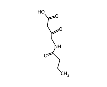 CCCC(=O)NCC(=O)CC(=O)O